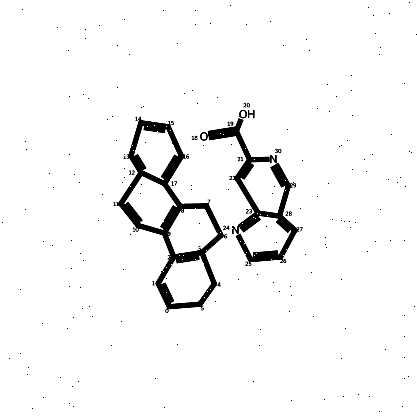 C1=CC2=C(CC1)CCc1c2ccc2ccccc12.O=C(O)c1cc2ncccc2cn1